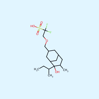 CCC(C)C1(O)C(C)CC2CC(COCC(F)(F)S(=O)(=O)O)CC1C2